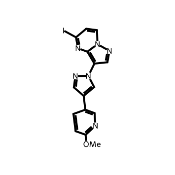 COc1ccc(-c2cnn(-c3cnn4ccc(I)nc34)c2)cn1